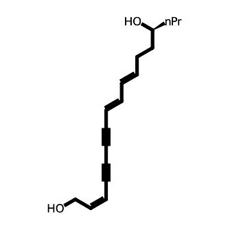 CCC[C@H](O)CC/C=C/C=C/C#CC#C/C=C\CO